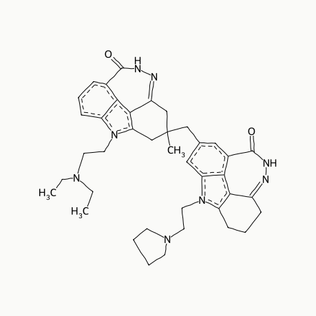 CCN(CC)CCn1c2c3c4c(cccc41)C(=O)NN=C3CC(C)(Cc1cc3c4c5c(n(CCN6CCCC6)c4c1)CCCC5=NNC3=O)C2